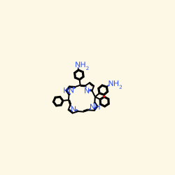 Nc1ccc(C2=C3C=CC(=N3)C(c3ccccc3)(c3ccc(N)cc3)C3C=CC(=CC4=NC(=C(c5ccccc5)c5ccc2[nH]5)C=C4)N3)cc1